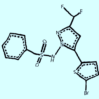 O=S(=O)(Nn1nc(C(F)F)cc1-c1ccc(Br)s1)c1ccccc1